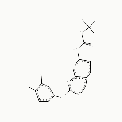 Cc1cc(Nc2ncc3ccc(NC(=O)NC(C)(C)C)nc3n2)ccc1F